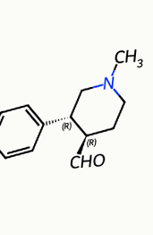 CN1CC[C@@H](C=O)[C@H](c2ccccc2)C1